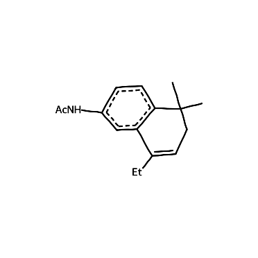 CCC1=CCC(C)(C)c2ccc(NC(C)=O)cc21